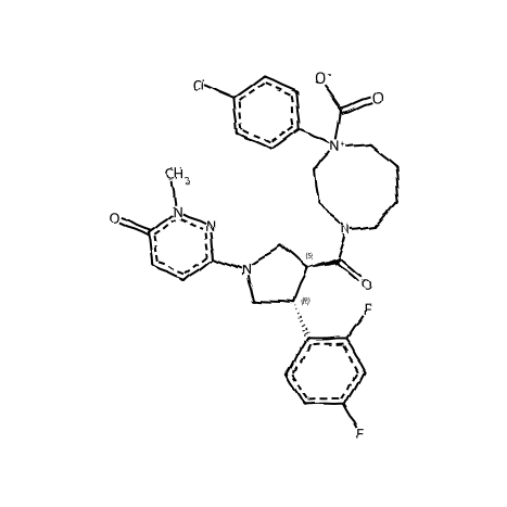 Cn1nc(N2C[C@@H](C(=O)N3CCCC[N+](C(=O)[O-])(c4ccc(Cl)cc4)CC3)[C@H](c3ccc(F)cc3F)C2)ccc1=O